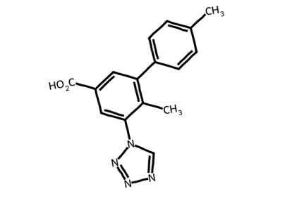 Cc1ccc(-c2cc(C(=O)O)cc(-n3cnnn3)c2C)cc1